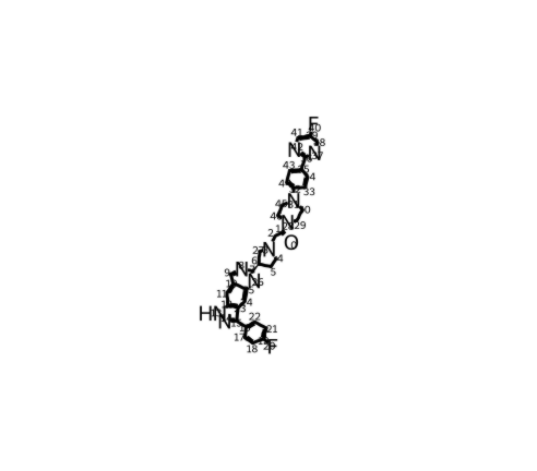 O=C(CN1CC[C@@H](c2ncc3cc4[nH]nc(-c5ccc(F)cc5)c4cc3n2)C1)N1CCN(c2ccc(-c3ncc(F)cn3)cc2)CC1